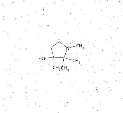 CN1CCC(C)(O)C1(C)C